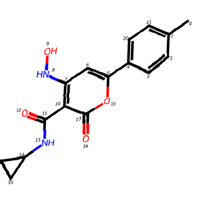 Cc1ccc(-c2cc(NO)c(C(=O)NC3CC3)c(=O)o2)cc1